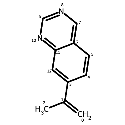 C=C(C)c1ccc2cncnc2c1